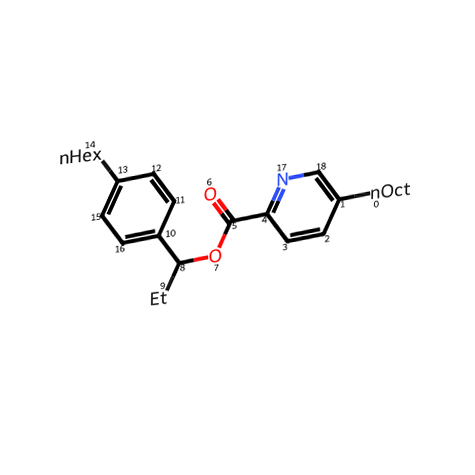 CCCCCCCCc1ccc(C(=O)OC(CC)c2ccc(CCCCCC)cc2)nc1